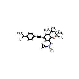 CC(C(=O)O)c1ccc(C#Cc2cc(CN(C)C3CC3)c3c(c2)C(C)(C)CC(C)(C)O3)cc1